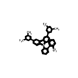 Cc1cc(-c2ccc3c(c2)c2cc(-c4cc(C)cc(C(F)(F)F)c4)ccc2n3-c2ccccc2-c2ccccc2C(F)(F)F)cc(C(F)(F)F)c1